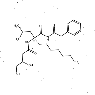 CCCCCCC[C@@](CC(C)C)(NC(=O)CC(O)CS)C(=O)NC(=O)Cc1ccccc1